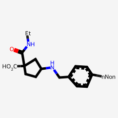 CCCCCCCCCc1ccc(CNC2CCC(C(=O)O)(C(=O)NCC)C2)cc1